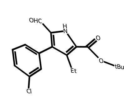 CCc1c(C(=O)OC(C)(C)C)[nH]c(C=O)c1-c1cccc(Cl)c1